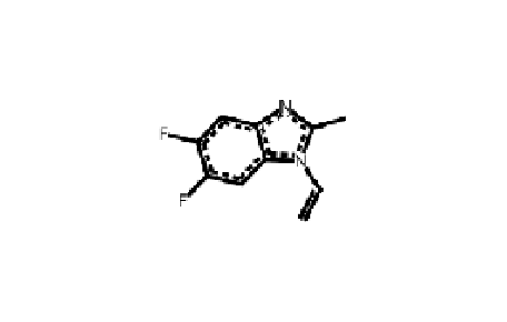 C=Cn1c(C)nc2cc(F)c(F)cc21